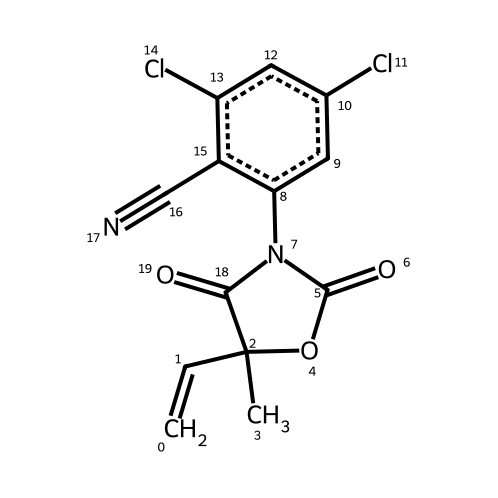 C=CC1(C)OC(=O)N(c2cc(Cl)cc(Cl)c2C#N)C1=O